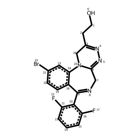 OCCC1=NN=C2CN=C(c3c(F)cccc3F)c3ccc(Br)cc3N2C1